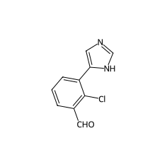 O=Cc1cccc(-c2cnc[nH]2)c1Cl